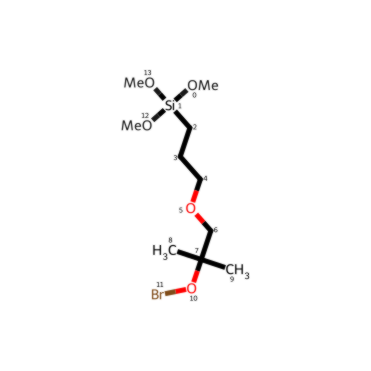 CO[Si](CCCOCC(C)(C)OBr)(OC)OC